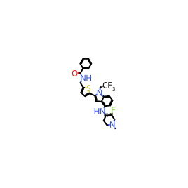 CN1CC[C@@H](Nc2cccc3c2cc(-c2ccc(CNC(=O)c4ccccc4)s2)n3CC(F)(F)F)[C@@H](F)C1